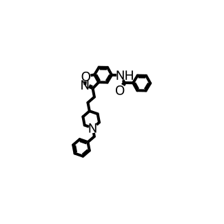 O=C(Nc1ccc2onc(CCC3CCN(Cc4ccccc4)CC3)c2c1)c1ccccc1